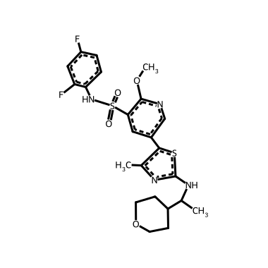 COc1ncc(-c2sc(NC(C)C3CCOCC3)nc2C)cc1S(=O)(=O)Nc1ccc(F)cc1F